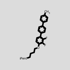 CCCC(C)CCCCOc1ccc(-c2ccc(-c3ccc(C)cc3)cc2)c(F)c1F